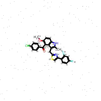 COc1ccc2[nH]c(C)c(Cc3nc(-c4ccc(F)cc4F)cs3)c2c1C(=O)c1ccc(Cl)cc1